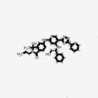 C=CCN1C(=O)c2ccc(Nc3cc(N[C@H](CO)c4ccccc4)c(-c4nnc(-c5ccccn5)o4)cn3)cc2C1(C)C